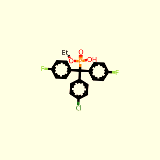 CCOP(=O)(O)C(c1ccc(F)cc1)(c1ccc(F)cc1)c1ccc(Cl)cc1